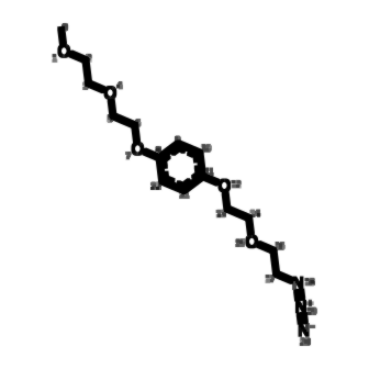 COCCOCCOc1ccc(OCCOCCN=[N+]=[N-])cc1